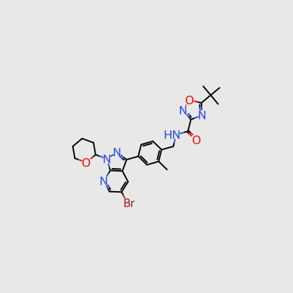 Cc1cc(-c2nn(C3CCCCO3)c3ncc(Br)cc23)ccc1CNC(=O)c1noc(C(C)(C)C)n1